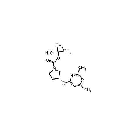 Cc1cc(O[C@@H]2CCN(C(=O)OC(C)(C)C)C2)nc(C)n1